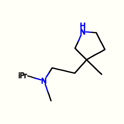 CC(C)N(C)CCC1(C)CCNC1